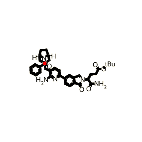 CC(C)(C)OC(=O)CCC(C(N)=O)N1Cc2cc(-c3ccc(CN4C[C@H]5CC[C@@H](C4)N5C(=O)c4ccccc4)c(N)n3)ccc2C1=O